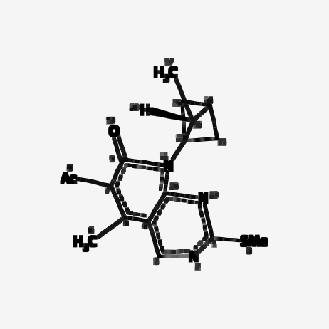 CSc1ncc2c(C)c(C(C)=O)c(=O)n(C34CC(C3)[C@H]4C)c2n1